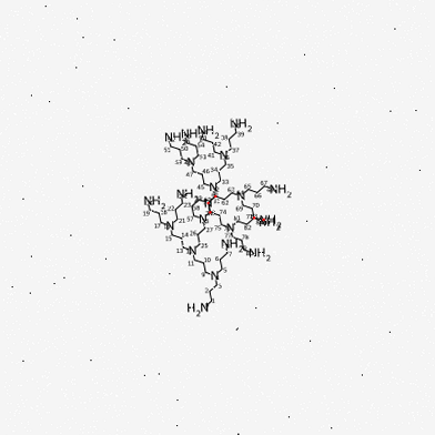 NCCCN(CCCN)CCCN(CCCN(CCCN)CCCN)CCCN(CCCN(CCCN(CCCN)CCCN)CCCN(CCCN)CCCN)CCCN(CCCN(CCCN)CCCN)CCCN(CCCN)CCCN